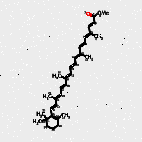 COC(=O)/C=C/C(C)=C/C=C/C(C)=C/C=C/C=C(C)/C=C/C=C(C)/C=C/C1=C(C)CCCC1(C)C